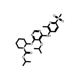 Cc1nc(S(C)(=O)=O)ccc1Nc1ncnc(OC2CCCCN2C(=O)OC(C)C)c1OC(C)C